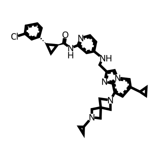 O=C(Nc1cc(NCc2cn3cc(C4CC4)cc(N4CC5(C4)CN(C4CC4)C5)c3n2)ccn1)[C@H]1C[C@@H]1c1cccc(Cl)c1